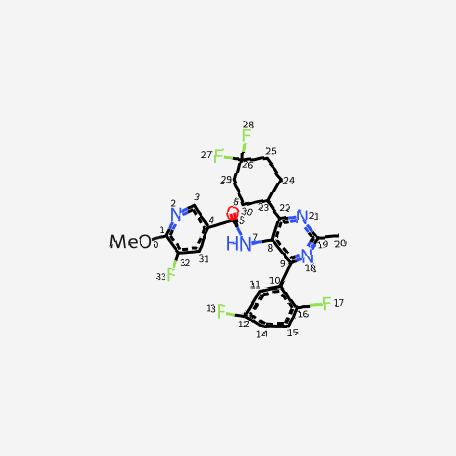 COc1ncc(C(=O)Nc2c(-c3cc(F)ccc3F)nc(C)nc2C2CCC(F)(F)CC2)cc1F